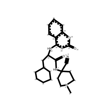 CN1CCC(C#N)(NC(=O)C(CC2CCCCC2)Nc2nc(=O)oc3ccccc23)CC1